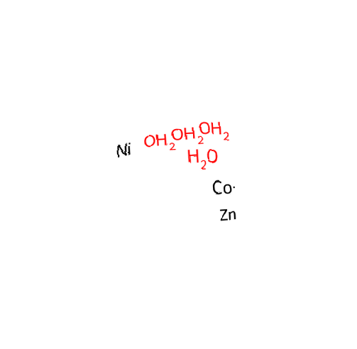 O.O.O.O.[Co].[Ni].[Zn]